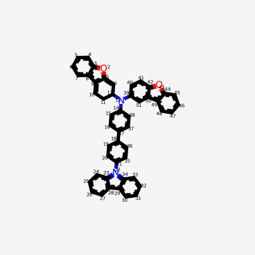 C1=c2oc3ccccc3c2=CCC1N(c1ccc(-c2ccc(-n3c4ccccc4c4ccccc43)cc2)cc1)c1ccc2oc3ccccc3c2c1